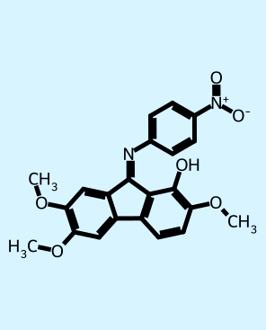 COc1cc2c(cc1OC)-c1ccc(OC)c(O)c1C2=Nc1ccc([N+](=O)[O-])cc1